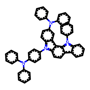 c1ccc(N(c2ccccc2)c2ccc(-n3c4ccc(N(c5ccccc5)c5ccccc5)cc4c4c3ccc3c5ccccc5n(-c5ccccc5)c34)cc2)cc1